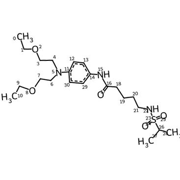 CCOCCN(CCOCC)c1ccc(NC(=O)CCCCNS(=O)(=O)C(C)C)cc1